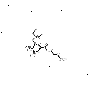 CCN(CC)Cc1cc(C(=O)OCCCCCl)cc(Br)c1N